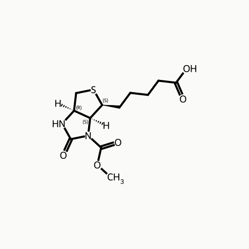 COC(=O)N1C(=O)N[C@H]2CS[C@@H](CCCCC(=O)O)[C@H]21